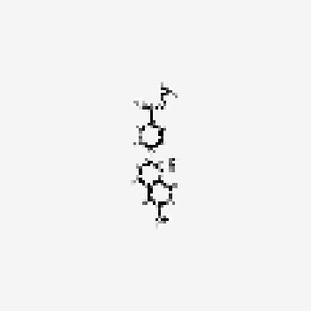 COC(=O)c1ccc(-c2ccc3cc(O)ccc3[n+]2[O-])cc1